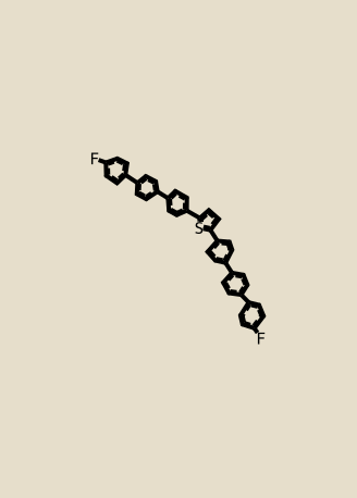 Fc1ccc(-c2ccc(-c3ccc(-c4ccc(-c5ccc(-c6ccc(-c7ccc(F)cc7)cc6)cc5)s4)cc3)cc2)cc1